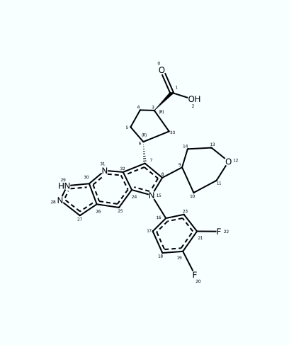 O=C(O)[C@@H]1CC[C@@H](c2c(C3CCOCC3)n(-c3ccc(F)c(F)c3)c3cc4cn[nH]c4nc23)C1